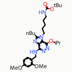 CCCCc1nc2c(NCc3ccc(OC)cc3OC)nnc(OC(C)C)c2n1CCCCCNC(=O)OC(C)(C)C